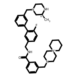 C[C@H]1CN(Cc2cccc(-c3cc(CNC(=O)c4cccc(CN5CC[N+]6(CCCCC6)CC5)c4)ccc3F)c2)CCN1